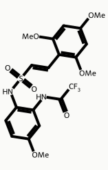 COc1ccc(NS(=O)(=O)C=Cc2c(OC)cc(OC)cc2OC)c(NC(=O)C(F)(F)F)c1